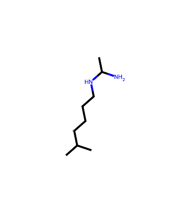 CC(C)[CH]CCCNC(C)N